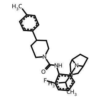 Cc1ccc(C2CCN(C(=O)Nc3c(F)cccc3N3C4CCC3CN(C(C)C)C4)CC2)cc1